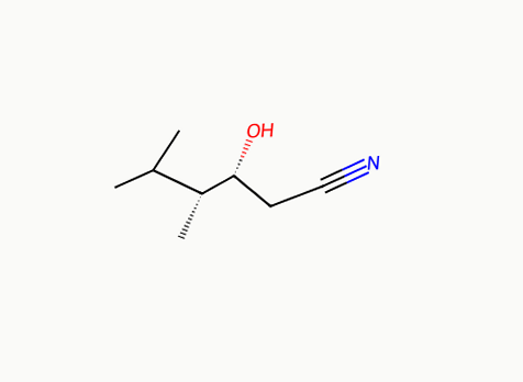 CC(C)[C@@H](C)[C@H](O)CC#N